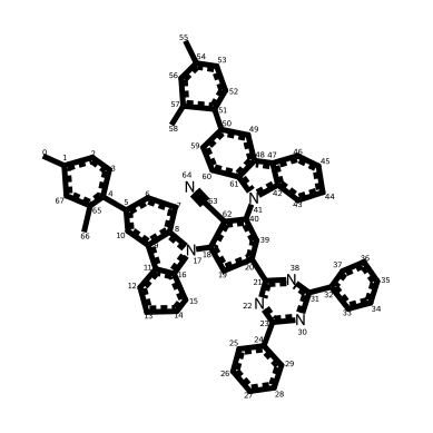 Cc1ccc(-c2ccc3c(c2)c2ccccc2n3-c2cc(-c3nc(-c4ccccc4)nc(-c4ccccc4)n3)cc(-n3c4ccccc4c4cc(-c5ccc(C)cc5C)ccc43)c2C#N)c(C)c1